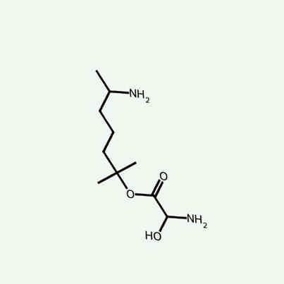 CC(N)CCCC(C)(C)OC(=O)C(N)O